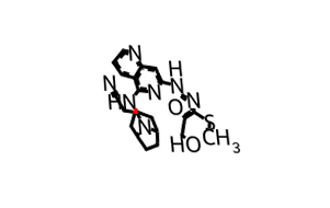 CSc1nc(Nc2cc3ncccc3c(NC3CC4CCC(C3)N4CCC#N)n2)oc1CO